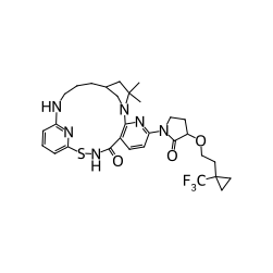 CC1(C)CC2CCCNc3cccc(n3)SNC(=O)c3ccc(N4CCC(OCCC5(C(F)(F)F)CC5)C4=O)nc3N1C2